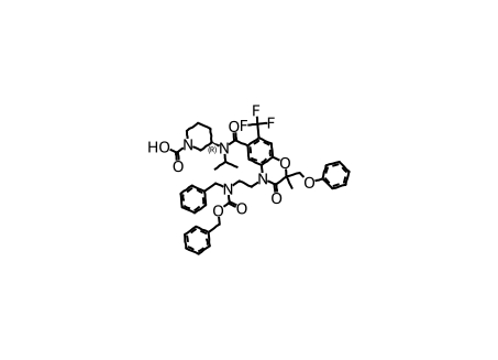 CC(C)N(C(=O)c1cc2c(cc1C(F)(F)F)OC(C)(COc1ccccc1)C(=O)N2CCN(Cc1ccccc1)C(=O)OCc1ccccc1)[C@@H]1CCCN(C(=O)O)C1